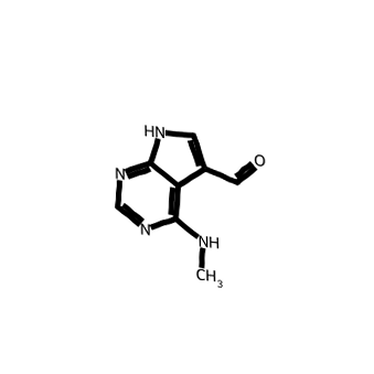 CNc1ncnc2[nH]cc(C=O)c12